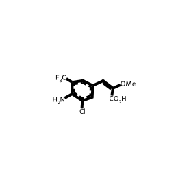 CO/C(=C/c1cc(Cl)c(N)c(C(F)(F)F)c1)C(=O)O